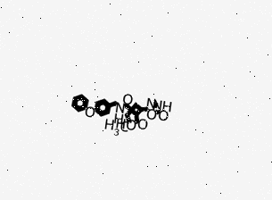 CCCC1(C(=O)NCc2ccc(Oc3ccccc3)cc2)CC(c2n[nH]c(=O)o2)C1C(=O)O